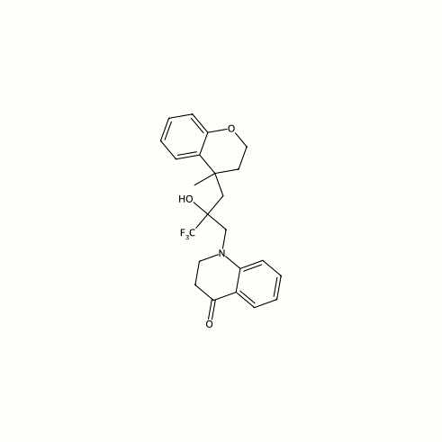 CC1(CC(O)(CN2CCC(=O)c3ccccc32)C(F)(F)F)CCOc2ccccc21